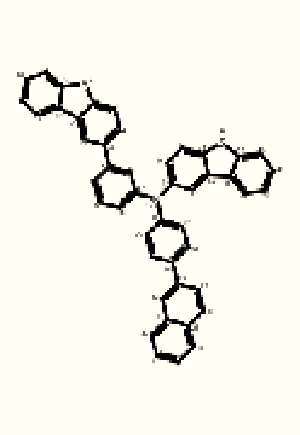 c1cc(-c2ccc3sc4ccccc4c3c2)cc(N(c2ccc(-c3ccc4ccccc4c3)cc2)c2ccc3sc4ccccc4c3c2)c1